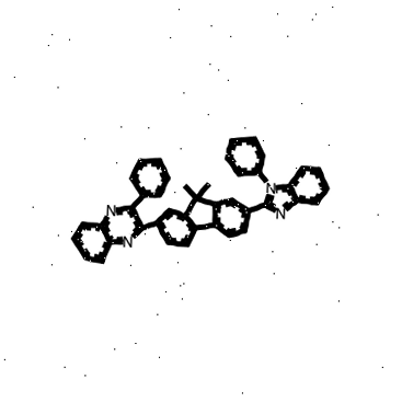 CC1(C)c2cc(-c3nc4ccccc4nc3-c3ccccc3)ccc2-c2ccc(-c3nc4ccccc4n3-c3ccccc3)cc21